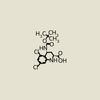 CC(C)(C)OC(=O)N[C@@H]1C[C@@H](C(=O)O)Nc2cc(Cl)cc(Cl)c21